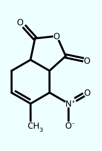 CC1=CCC2C(=O)OC(=O)C2C1[N+](=O)[O-]